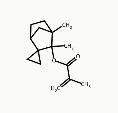 C=C(C)C(=O)OC1(C)C2(C)CCC(C2)C12CC2